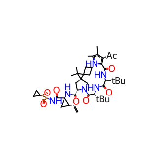 C=C[C@@H]1C[C@]1(NC(=O)[C@@H]1C[C@@]2(CN1C(=O)[C@@H](NC(=O)[C@@H](NC(=O)c1[nH]c(C)c(C)c1C(C)=O)C(C)(C)C)C(C)(C)C)C(C)(C)C21CCC1)C(=O)NS(=O)(=O)C1CC1